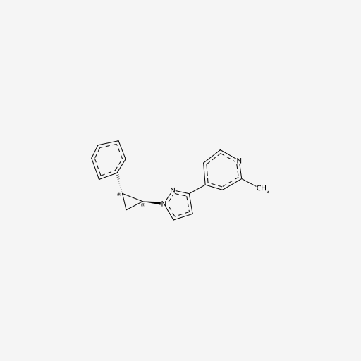 Cc1cc(-c2ccn([C@H]3C[C@@H]3c3ccccc3)n2)ccn1